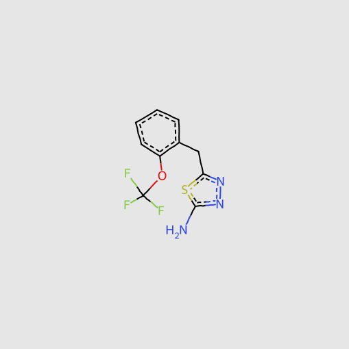 Nc1nnc(Cc2ccccc2OC(F)(F)F)s1